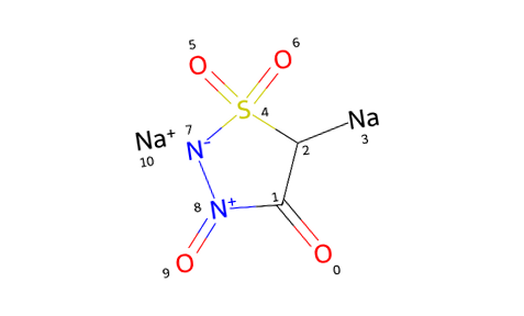 O=C1[CH]([Na])S(=O)(=O)[N-][N+]1=O.[Na+]